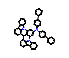 c1ccc(-c2ccc(N(c3ccc(-c4ccccc4)cc3)c3cc4c5c(c3)-n3c6ccccc6c6cccc(c63)C5c3cccc5c6ccccc6n-4c35)cc2)cc1